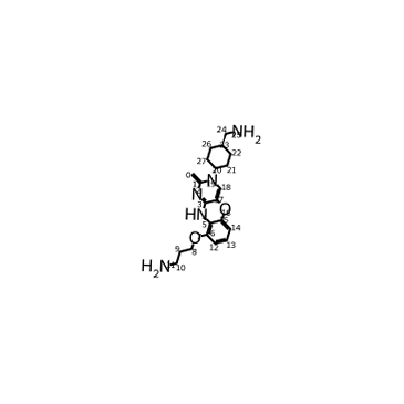 C=C1N=C2Nc3c(OCCCN)cccc3OC2=CN1[C@H]1CC[C@H](CN)CC1